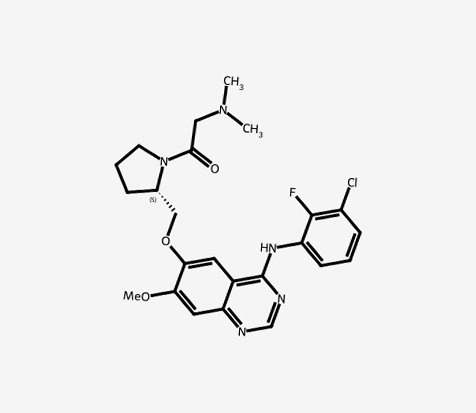 COc1cc2ncnc(Nc3cccc(Cl)c3F)c2cc1OC[C@@H]1CCCN1C(=O)CN(C)C